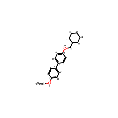 CCCCCOc1ccc(-c2ccc(OCC3CC[CH]CC3)cc2)cc1